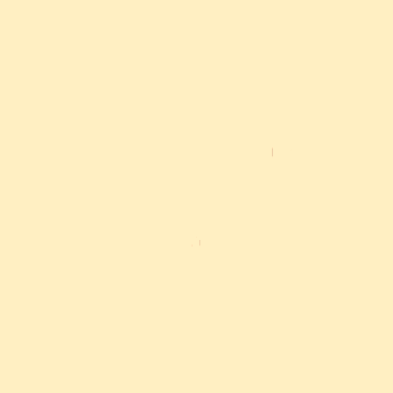 O=CC=Cc1ccccc1.[Zn]